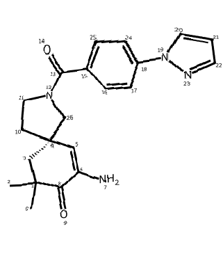 CC1(C)C[C@]2(C=C(N)C1=O)CCN(C(=O)c1ccc(-n3cccn3)cc1)C2